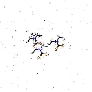 CCN(CC)C(=S)[S-].CCN(CC)C(=S)[S-].CCN(CC)C(=S)[S-].[Au+3]